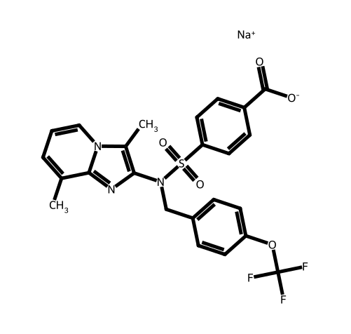 Cc1cccn2c(C)c(N(Cc3ccc(OC(F)(F)F)cc3)S(=O)(=O)c3ccc(C(=O)[O-])cc3)nc12.[Na+]